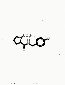 O=C(NCc1ccc(Br)cc1)C1CCCN1C(=O)O